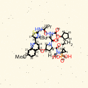 C=C[C@@H]1C[C@]1(N(C)C(=O)[C@@H]1C[C@@H](Oc2cc(-c3csc(NC(=O)C(C)C)n3)nc3cc(OC)ccc23)CN1C(=O)[C@@H](NC(=O)OC1CCCC1)C(C)(C)C)P(=O)(O)O